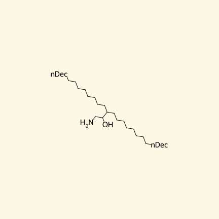 CCCCCCCCCCCCCCCCCCC(CCCCCCCCCCCCCCCCCC)C(O)CN